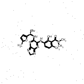 Cc1ccc([C@H](Nc2nc3c(nc2Nc2ccc(C(F)(F)F)c(C(=O)N(C)C)c2O)=NCN=3)C(C)(C)C)o1